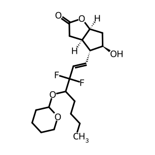 CCCCC(OC1CCCCO1)C(F)(F)C=C[C@@H]1[C@H]2CC(=O)O[C@H]2C[C@H]1O